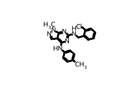 Cc1ccc(Nc2nc(NCc3ccccc3Cl)nc3c2cnn3C)cc1